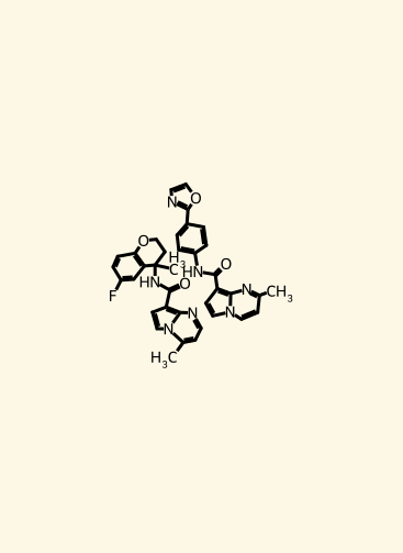 Cc1ccn2ccc(C(=O)Nc3ccc(-c4ncco4)cc3)c2n1.Cc1ccnc2c(C(=O)NC3(C)CCOc4ccc(F)cc43)ccn12